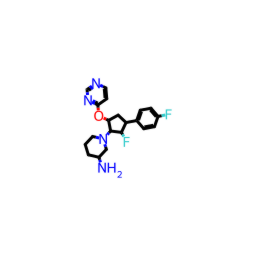 NC1CCCN(C2C(Oc3ccncn3)CC(c3ccc(F)cc3)C2F)C1